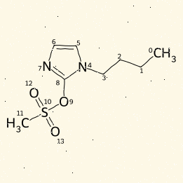 CCCCn1ccnc1OS(C)(=O)=O